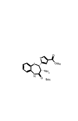 Br.COC(=O)c1csc([C@H]2Sc3ccccc3NC(=O)[C@H]2N)c1